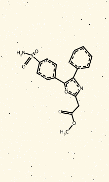 COC(=O)Cc1nc(-c2ccccc2)c(-c2ccc(S(N)(=O)=O)cc2)o1